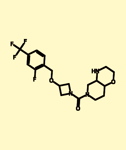 O=C(N1CC(OCc2ccc(C(F)(F)F)cc2F)C1)N1CCC2OCCNC2C1